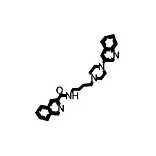 O=C(NCCCCN1CCN(c2cnc3ccccc3c2)CC1)c1cc2ccccc2cn1